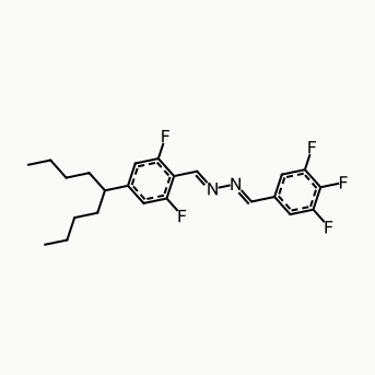 CCCCC(CCCC)c1cc(F)c(/C=N/N=C/c2cc(F)c(F)c(F)c2)c(F)c1